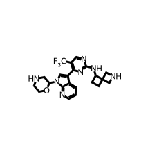 FC(F)(F)c1cnc(NC2CCC23CNC3)nc1-c1cn(C2CNCCO2)c2ncccc12